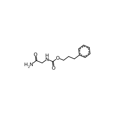 NC(=O)CNC(=O)OCCCc1ccccc1